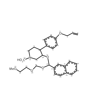 C=CCOc1ccc(C2CCN(C(=O)O)CC2OC(OCOCCOC)c2ccc3ccccc3c2)cc1